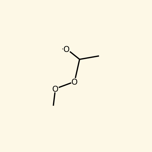 COOC(C)[O]